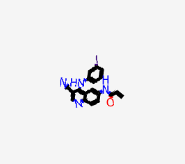 C=CC(=O)Nc1ccc2ncc(C#N)c(Nc3cccc(I)c3)c2c1